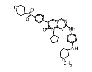 CN1CCCC(Nc2ccc(Nc3ncc4cc(-c5ccc(S(=O)(=O)C6CCOCC6)cc5)c(=O)n(C5CCCC5)c4n3)cc2)C1